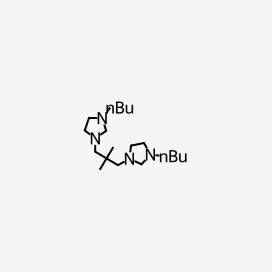 CCCCN1CCN(CC(C)(C)CN2CCN(CCCC)C2)C1